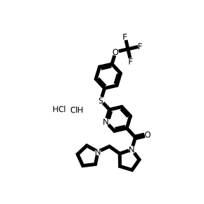 Cl.Cl.O=C(c1ccc(Sc2ccc(OC(F)(F)F)cc2)nc1)N1CCCC1CN1CCCC1